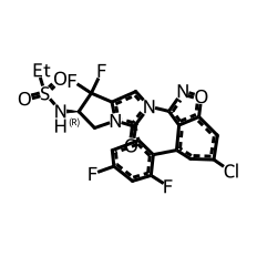 CCS(=O)(=O)N[C@@H]1Cn2c(cn(-c3noc4cc(Cl)cc(-c5c(F)cc(F)cc5F)c34)c2=O)C1(F)F